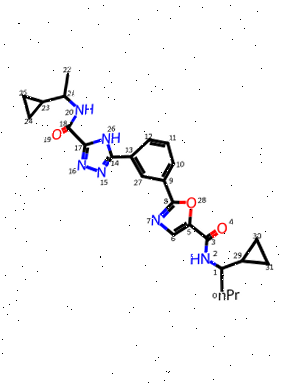 CCCC(NC(=O)c1cnc(-c2cccc(-c3nnc(C(=O)NC(C)C4CC4)[nH]3)c2)o1)C1CC1